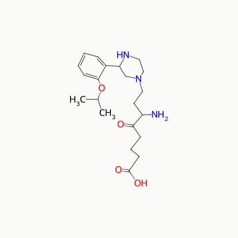 CC(C)Oc1ccccc1C1CN(CCC(N)C(=O)CCCC(=O)O)CCN1